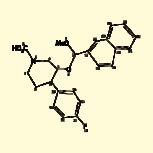 COC(OC1CN(C(=O)O)CCC1c1ccc(F)cc1)c1ccc2ccccc2c1